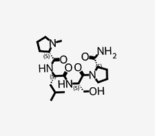 CC(C)C[C@H](NC(=O)[C@@H]1CCCN1C)C(=O)N[C@@H](CO)C(=O)N1CCC[C@H]1C(N)=O